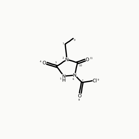 CCn1c(=O)[nH]n(C(=O)Cl)c1=O